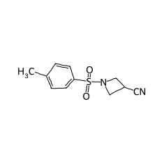 Cc1ccc(S(=O)(=O)N2CC(C#N)C2)cc1